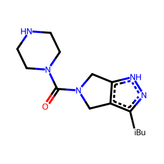 CCC(C)c1n[nH]c2c1CN(C(=O)N1CCNCC1)C2